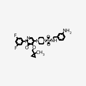 CC1(COc2c(N3CCN(S(=O)(=O)NCc4cccc(N)c4)CC3)cnn(-c3cc(F)cc(F)c3)c2=O)CC1